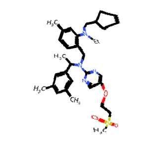 CCN(CC1CCCC1)c1cc(C)ccc1CN(c1ncc(OCCS(C)(=O)=O)cn1)C(C)c1cc(C)cc(C)c1